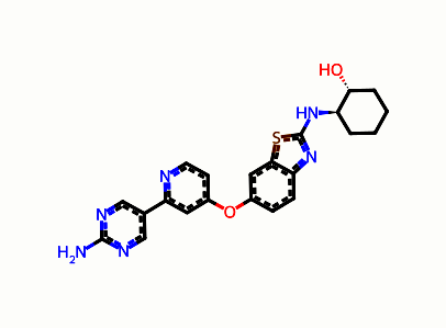 Nc1ncc(-c2cc(Oc3ccc4nc(N[C@@H]5CCCC[C@H]5O)sc4c3)ccn2)cn1